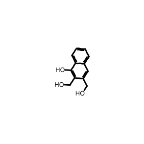 OCc1cc2ccccc2c(O)c1CO